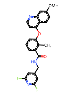 COc1ccc2c(Oc3cccc(C(=O)NCc4cc(F)nc(F)c4)c3C)ccnc2c1